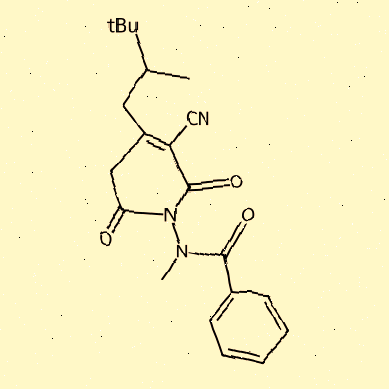 CC(CC1=C(C#N)C(=O)N(N(C)C(=O)c2ccccc2)C(=O)C1)C(C)(C)C